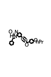 CCCOc1ccc(C(=O)N2CCN(c3ccc([N+](=O)[O-])c(NCCc4ccccc4)c3)CC2)cc1